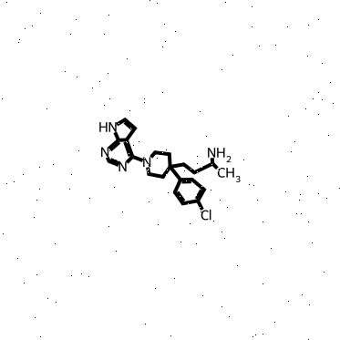 CC(N)CCC1(c2ccc(Cl)cc2)CCN(c2ncnc3[nH]ccc23)CC1